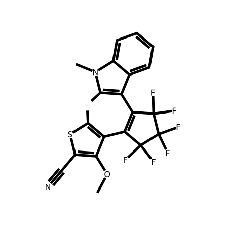 COc1c(C#N)sc(C)c1C1=C(c2c(C)n(C)c3ccccc23)C(F)(F)C(F)(F)C1(F)F